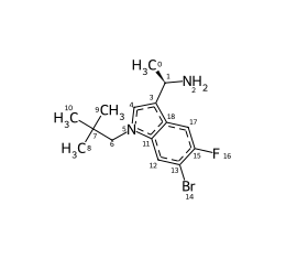 C[C@@H](N)c1cn(CC(C)(C)C)c2cc(Br)c(F)cc12